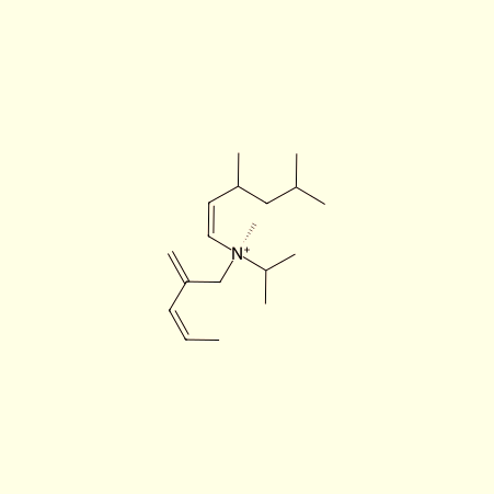 C=C(/C=C\C)C[N@@+](C)(/C=C\C(C)CC(C)C)C(C)C